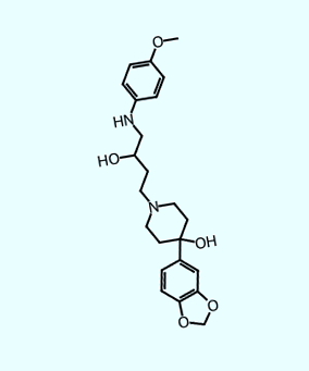 COc1ccc(NCC(O)CCN2CCC(O)(c3ccc4c(c3)OCO4)CC2)cc1